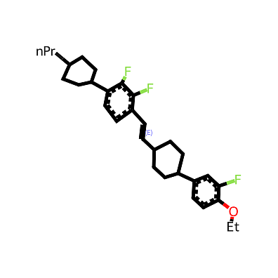 CCCC1CCC(c2ccc(/C=C/C3CCC(c4ccc(OCC)c(F)c4)CC3)c(F)c2F)CC1